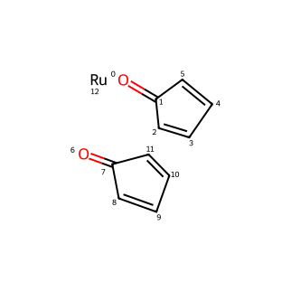 O=C1C=CC=C1.O=C1C=CC=C1.[Ru]